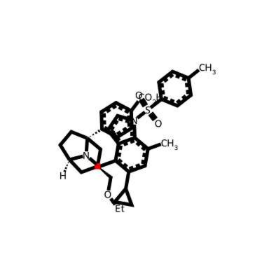 CCOC[C@H]1C[C@H]2CC[C@@](c3ccc(C(=O)O)cc3)(C1)N2Cc1c(C2CC2)cc(C)c2c1ccn2S(=O)(=O)c1ccc(C)cc1